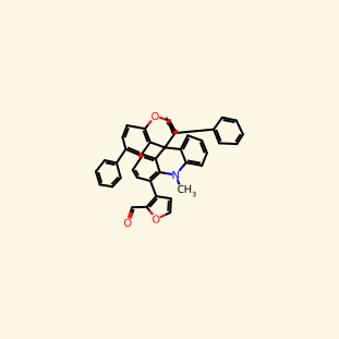 CN1c2ccccc2C2(c3cc(-c4ccccc4)ccc3Oc3ccc(-c4ccccc4)cc32)c2cccc(-c3ccoc3C=O)c21